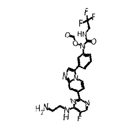 NCCNc1nc(-c2ccn3c(-c4cccc(N(OC=O)C(=O)NCC(F)(F)F)c4)cnc3c2)ncc1F